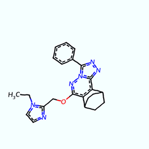 CCn1ccnc1COc1nn2c(-c3ccccc3)nnc2c2c1C1CCC2CC1